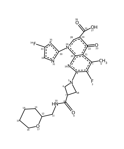 Cc1c(F)c(N2CC(C(=O)NCC3CCCCO3)C2)nc2c1c(=O)c(C(=O)O)cn2-c1ncc(F)s1